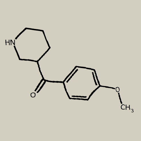 COc1ccc(C(=O)C2CCCNC2)cc1